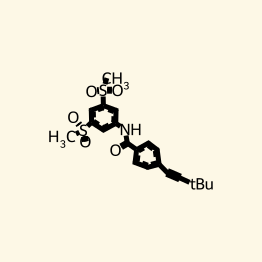 CC(C)(C)C#Cc1ccc(C(=O)Nc2cc(S(C)(=O)=O)cc(S(C)(=O)=O)c2)cc1